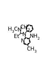 CCC(N(C)C)N(c1ccccc1)c1ncc(C)cc1N